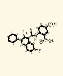 Cc1c(-c2ccccc2)nc2ccc(Br)cc2c1C(=O)Nc1ccc(C(=O)O)cc1[S+](C)[O-]